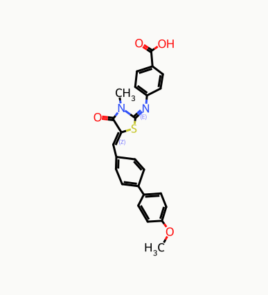 COc1ccc(-c2ccc(/C=C3\S/C(=N/c4ccc(C(=O)O)cc4)N(C)C3=O)cc2)cc1